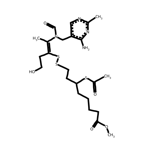 COC(=O)CCCCC(CCSSC(CCO)=C(C)N(C=O)Cc1cnc(C)nc1N)SC(C)=O